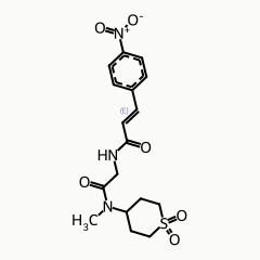 CN(C(=O)CNC(=O)/C=C/c1ccc([N+](=O)[O-])cc1)C1CCS(=O)(=O)CC1